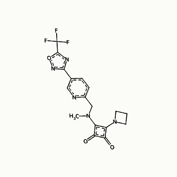 CN(Cc1ccc(-c2noc(C(F)(F)F)n2)cn1)c1c(N2CCC2)c(=O)c1=O